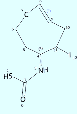 O=C(S)N[C@@H]1CCC/C=C/CC1I